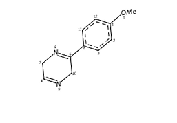 COc1ccc(C2=NCC=NC2)cc1